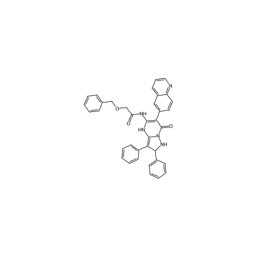 O=C(COCc1ccccc1)NC1=C(c2ccc3ncccc3c2)C(=O)N2NC(c3ccccc3)C(c3ccccc3)=C2N1